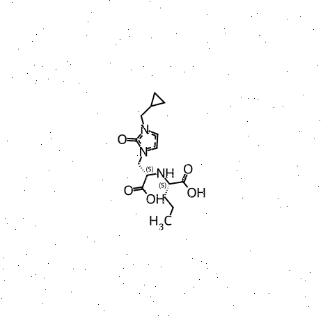 CCC[C@H](N[C@@H](Cn1ccn(CC2CC2)c1=O)C(=O)O)C(=O)O